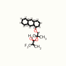 C=C(C(=O)OC(C)(C)COc1cccc2cc3ccccc3cc12)C(F)(F)F